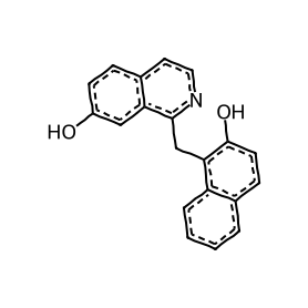 Oc1ccc2ccnc(Cc3c(O)ccc4ccccc34)c2c1